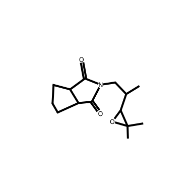 CC(CN1C(=O)C2CCCC2C1=O)C1OC1(C)C